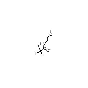 COCCN[S+]([O-])C(F)(F)F